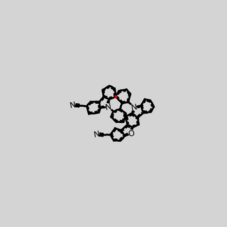 N#Cc1ccc2oc3cc4c5ccccc5n(-c5ccccc5-c5ccccc5-n5c6ccccc6c6cc(C#N)ccc65)c4cc3c2c1